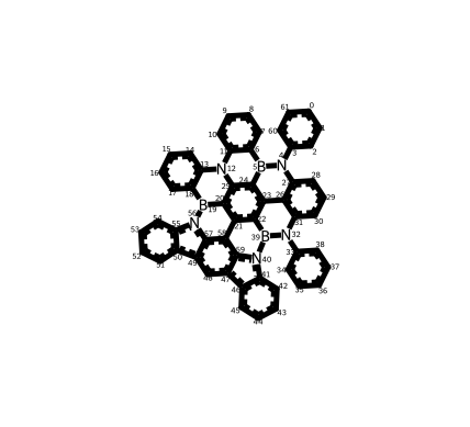 c1ccc(N2B3c4ccccc4N4c5ccccc5B5c6c7c8c(c3c64)-c3c2cccc3N(c2ccccc2)B8n2c3ccccc3c3cc4c6ccccc6n5c4c-7c32)cc1